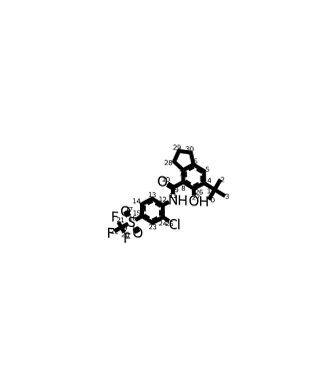 CC(C)(C)c1cc2c(c(C(=O)Nc3ccc(S(=O)(=O)C(F)(F)F)cc3Cl)c1O)CCC2